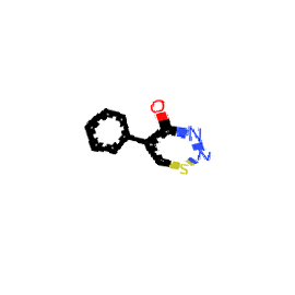 O=c1nnscc1-c1ccccc1